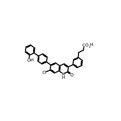 O=C(O)CCc1cccc(-c2cc3cc(-c4ccc(-c5ccccc5O)cc4)c(Cl)cc3[nH]c2=O)c1